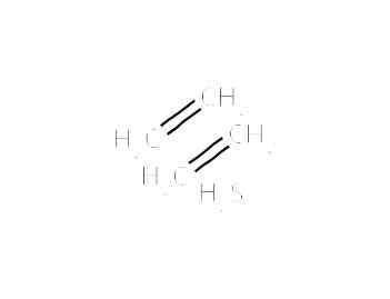 C=C.C=C.S